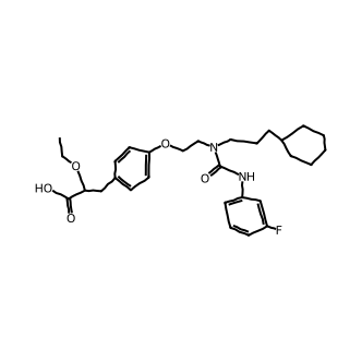 CCOC(Cc1ccc(OCCN(CCCC2CCCCC2)C(=O)Nc2cccc(F)c2)cc1)C(=O)O